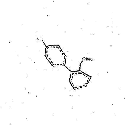 COc1ccccc1-c1ccc(C#N)cc1